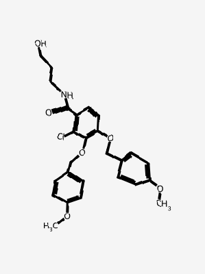 COc1ccc(COc2ccc(C(=O)NCCCO)c(Cl)c2OCc2ccc(OC)cc2)cc1